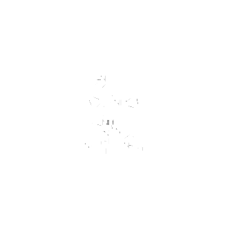 CC(C)c1nc(CN(C)C(=O)NC(CC(O)C#N)C(=O)NC(CCC(Cc2ccccc2)NC(=O)OCc2cncs2)Cc2ccccc2)cs1